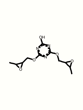 CC1OC1COc1nc(O)nc(OCC2OC2C)n1